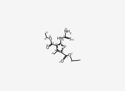 CCOC(=O)c1sc(NC(N)=S)c(C(=O)OCC)c1C